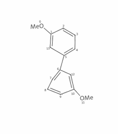 COc1[c]ccc(-c2cc[c]c(OC)c2)c1